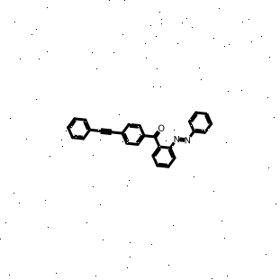 O=C(c1ccc(C#Cc2ccccc2)cc1)c1ccccc1N=Nc1ccccc1